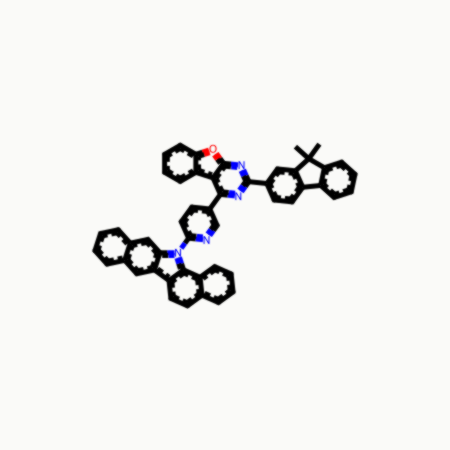 CC1(C)c2ccccc2-c2ccc(-c3nc(-c4ccc(-n5c6cc7ccccc7cc6c6ccc7ccccc7c65)nc4)c4c(n3)oc3ccccc34)cc21